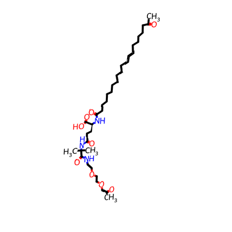 CC(=O)CCCCCCCCCCCCCCCCCCC(=O)N[C@@H](CCC(=O)NC(C)(C)C(=O)NCCOCCOCC(C)=O)C(=O)O